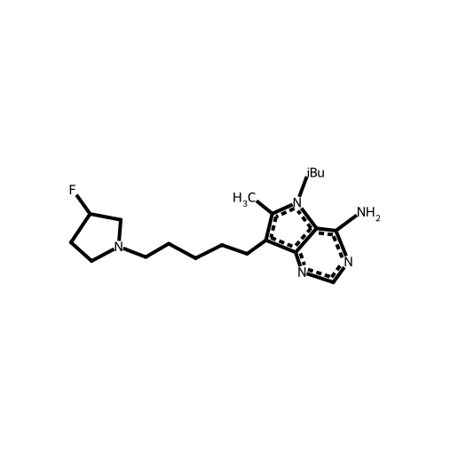 CCC(C)n1c(C)c(CCCCCN2CCC(F)C2)c2ncnc(N)c21